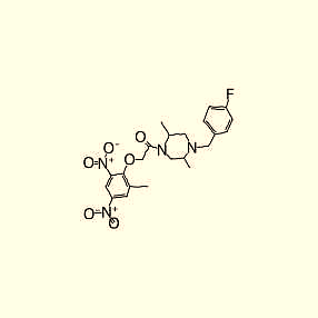 Cc1cc([N+](=O)[O-])cc([N+](=O)[O-])c1OCC(=O)N1CC(C)N(Cc2ccc(F)cc2)CC1C